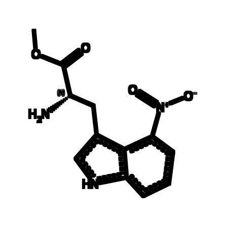 COC(=O)[C@@H](N)Cc1c[nH]c2cccc([N+](=O)[O-])c12